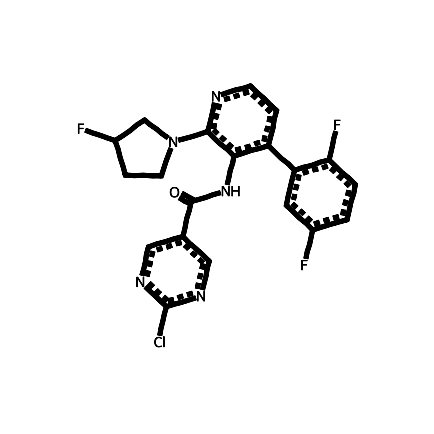 O=C(Nc1c(-c2cc(F)ccc2F)ccnc1N1CCC(F)C1)c1cnc(Cl)nc1